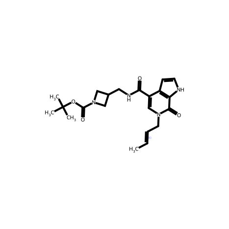 C/C=C/Cn1cc(C(=O)NCC2CN(C(=O)OC(C)(C)C)C2)c2cc[nH]c2c1=O